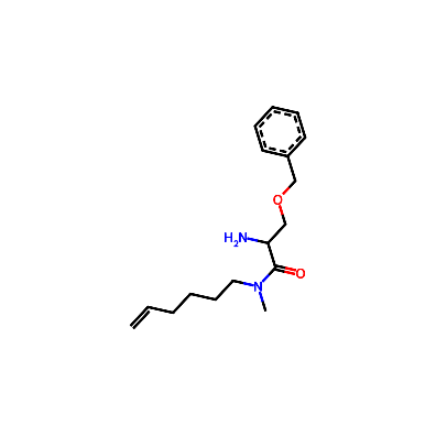 C=CCCCCN(C)C(=O)C(N)COCc1ccccc1